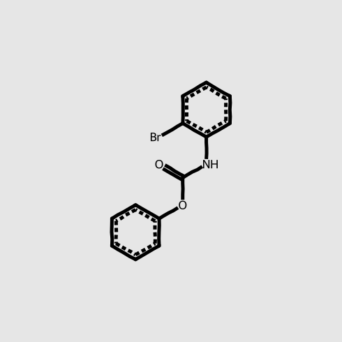 O=C(Nc1ccccc1Br)Oc1ccccc1